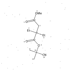 CCC(CC)(CC(=O)OC)C(=O)OC(C)(C)C#N